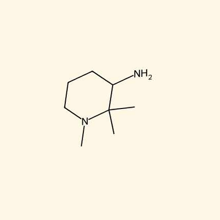 CN1CCCC(N)C1(C)C